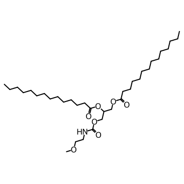 CCCCCCCCCCCCCC(=O)OCC(COC(=O)NCCOC)OC(=O)CCCCCCCCCCCCC